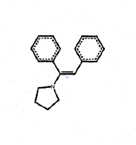 C(=C(/c1ccccc1)N1CCCC1)/c1ccccc1